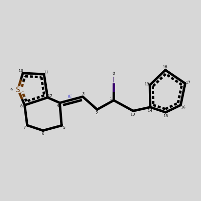 IC(C/C=C1\CCCc2sccc21)Cc1ccccc1